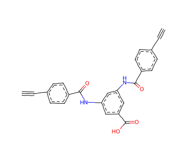 C#Cc1ccc(C(=O)Nc2cc(NC(=O)c3ccc(C#C)cc3)cc(C(=O)O)c2)cc1